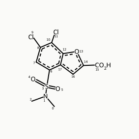 CN(C)S(=O)(=O)c1cc(Cl)c(Cl)c2oc(C(=O)O)cc12